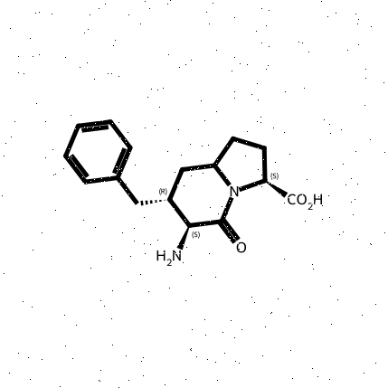 N[C@@H]1C(=O)N2C(CC[C@H]2C(=O)O)C[C@H]1Cc1ccccc1